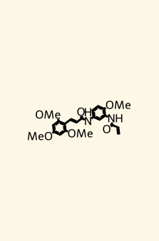 C=CC(=O)Nc1cc(NC(=O)/C=C/c2c(OC)cc(OC)cc2OC)ccc1OC